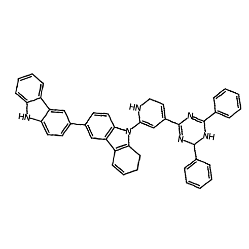 C1=Cc2c(n(C3=CC(C4=NC(c5ccccc5)NC(c5ccccc5)=N4)=CCN3)c3ccc(-c4ccc5[nH]c6ccccc6c5c4)cc23)CC1